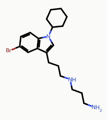 NCCCNCCCc1cn(C2CCCCC2)c2ccc(Br)cc12